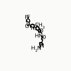 Cc1cc2oc(CNC(=O)/C=C/c3ccc(N)nc3)cc2cc1-c1ccc(C(=O)N2CCC(F)(F)CC2)cn1